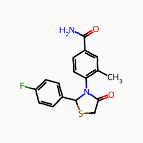 Cc1cc(C(N)=O)ccc1N1C(=O)CSC1c1ccc(F)cc1